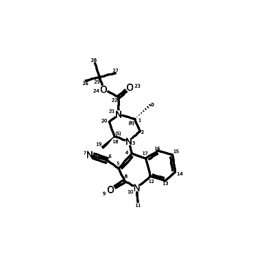 C[C@@H]1CN(c2c(C#N)c(=O)n(C)c3ccccc23)[C@@H](C)CN1C(=O)OC(C)(C)C